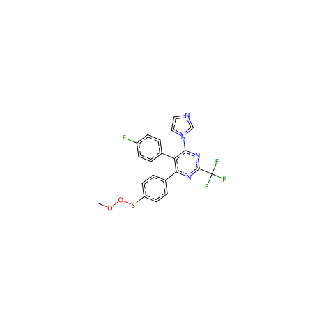 COOSc1ccc(-c2nc(C(F)(F)F)nc(-n3ccnc3)c2-c2ccc(F)cc2)cc1